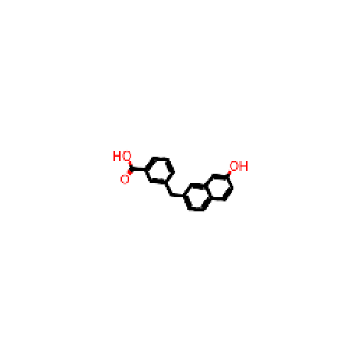 O=C(O)c1cccc(Cc2ccc3ccc(O)cc3c2)c1